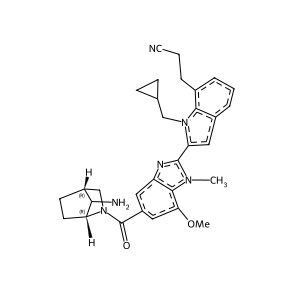 COc1cc(C(=O)N2C[C@H]3CC[C@@H]2C3N)cc2nc(-c3cc4cccc(CCC#N)c4n3CC3CC3)n(C)c12